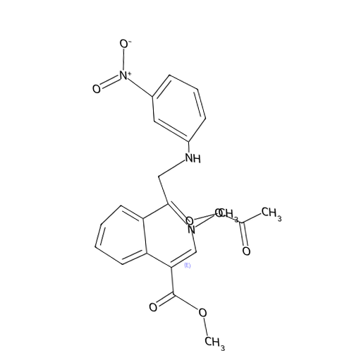 CO/C=C(/C(=O)OC)c1ccccc1C(CNc1cccc([N+](=O)[O-])c1)=NOC(C)=O